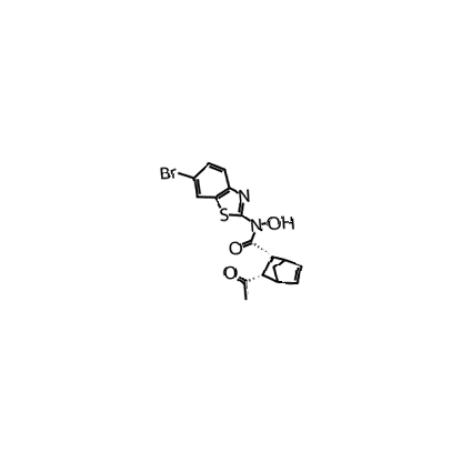 CC(=O)[C@H]1C2C=CC(C2)[C@H]1C(=O)N(O)c1nc2ccc(Br)cc2s1